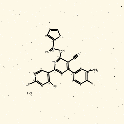 Cl.N#Cc1c(-c2ccc(F)c(N)c2)cc(-c2ccc(F)cc2O)nc1NC(=O)c1ccco1